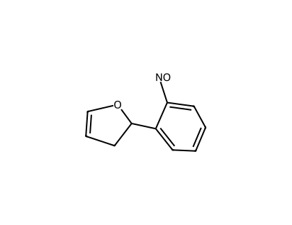 O=Nc1ccccc1C1CC=CO1